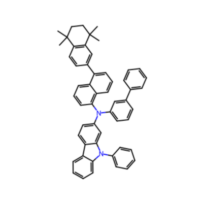 CC1(C)CCC(C)(C)c2cc(-c3cccc4c(N(c5cccc(-c6ccccc6)c5)c5ccc6c7ccccc7n(-c7ccccc7)c6c5)cccc34)ccc21